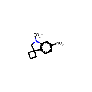 O=C(O)N1CC2(CCC2)c2ccc([N+](=O)[O-])cc21